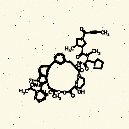 CC#CC(=O)N1C[C@H](C)[C@H](C(=O)N(C)[C@H](C(=O)N[C@H]2Cc3cccc(c3)-c3ccc4c(c3)c(c(-c3cccnc3[C@H](C)OC)n4CC)CC(C)(C)COC(=O)[C@@]3(O)CCCN(N3)C2=O)C2CCCC2)C1